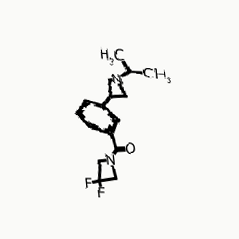 CC(C)N1CC(c2cccc(C(=O)N3CC(F)(F)C3)c2)C1